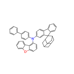 c1ccc(-c2ccc(N(c3ccc4c(c3)C3(c5ccccc5-4)C4CC5CC(C4)CC3C5)c3cccc4oc5ccccc5c34)cc2)cc1